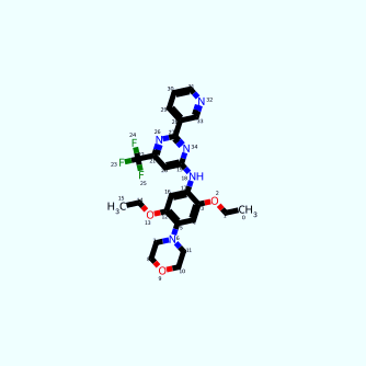 CCOc1cc(N2CCOCC2)c(OCC)cc1Nc1cc(C(F)(F)F)nc(-c2cccnc2)n1